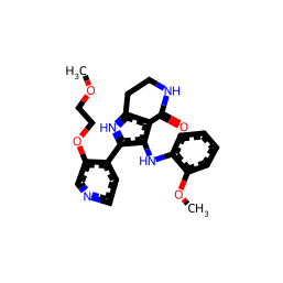 COCCOc1cnccc1-c1[nH]c2c(c1Nc1ccccc1OC)C(=O)NCC2